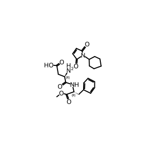 COC(=O)[C@@H](Cc1ccccc1)NC(=O)[C@H](N)CC(=O)O.O=C1C=CC(=O)N1C1CCCCC1